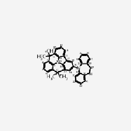 CC1(C)c2cccc3c2-n2c4c1cccc4c1cc(N4c5ccccc5CCc5ccccc54)cc(c12)C3(C)C